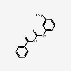 CCOC(=O)c1cccc(NC(=S)NC(=O)c2ccccc2)c1